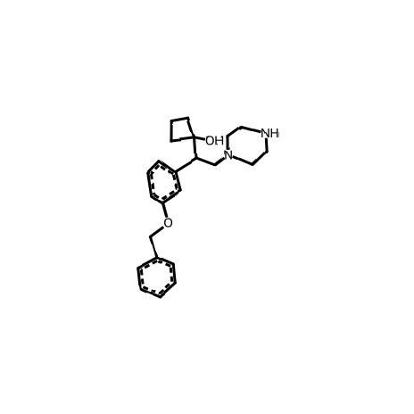 OC1(C(CN2CCNCC2)c2cccc(OCc3ccccc3)c2)CCC1